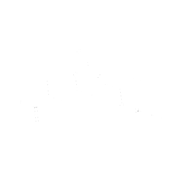 C=C(I)C(C)C[C@@H](CCC(CC)O[Si](C)(C)C(C)(C)C)OS(C)(=O)=O